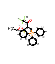 CCOC(=S)C(C=P(c1ccccc1)(c1ccccc1)c1ccccc1)C(=O)C(F)(F)F